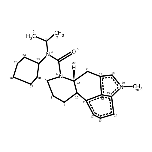 CC(C)N(C(=O)N1CCCC2c3cccc4c3c(cn4C)C[C@H]21)C1CCCCC1